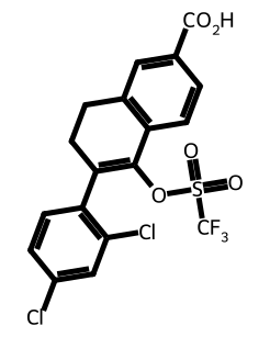 O=C(O)c1ccc2c(c1)CCC(c1ccc(Cl)cc1Cl)=C2OS(=O)(=O)C(F)(F)F